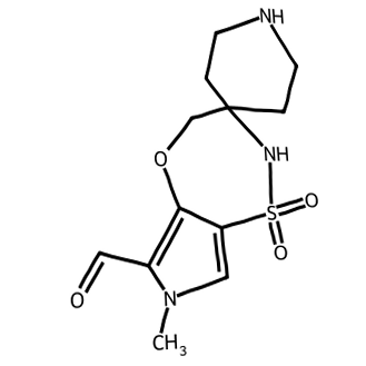 Cn1cc2c(c1C=O)OCC1(CCNCC1)NS2(=O)=O